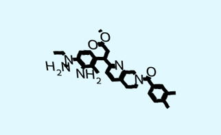 CCN(N)c1ccc(C(CC(=O)OC)c2ccc3c(n2)CN(C(=O)c2ccc(C)c(C)c2)CC3)c(C)c1N